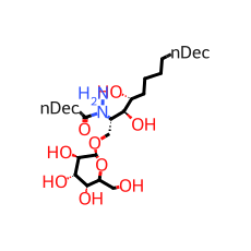 CCCCCCCCCCCCCC[C@@H](O)[C@@H](O)[C@H](CO[C@H]1OC(CO)[C@H](O)[C@H](O)[C@H]1O)N(N)C(=O)CCCCCCCCCC